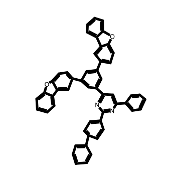 c1ccc(-c2ccc(-c3nc(-c4ccccc4)cc(-c4cc(-c5ccc6oc7ccccc7c6c5)cc(-c5ccc6oc7ccccc7c6c5)c4)n3)cc2)cc1